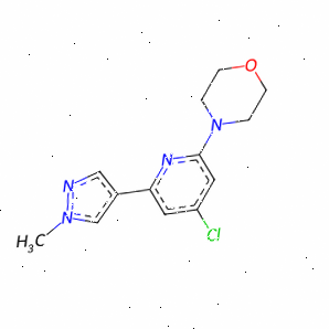 Cn1cc(-c2cc(Cl)cc(N3CCOCC3)n2)cn1